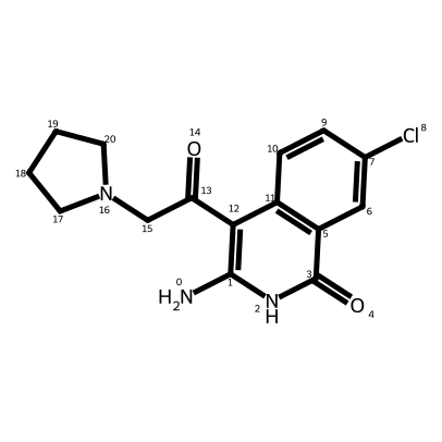 Nc1[nH]c(=O)c2cc(Cl)ccc2c1C(=O)CN1CCCC1